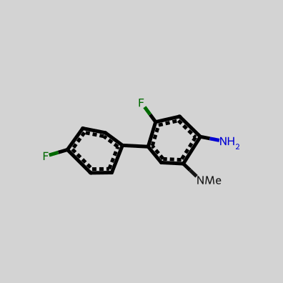 CNc1cc(-c2ccc(F)cc2)c(F)cc1N